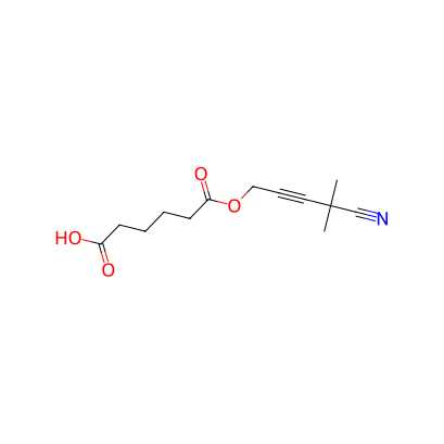 CC(C)(C#N)C#CCOC(=O)CCCCC(=O)O